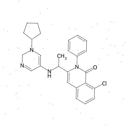 CC(NC1=CN(C2CCCC2)CN=C1)c1cc2cccc(Cl)c2c(=O)n1-c1ccccc1